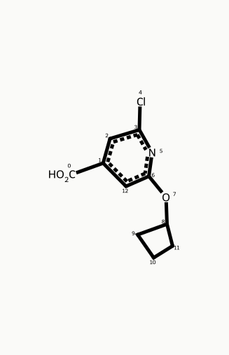 O=C(O)c1cc(Cl)nc(OC2CCC2)c1